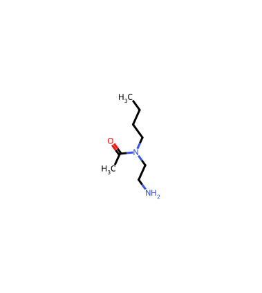 CCCCN(CCN)C(C)=O